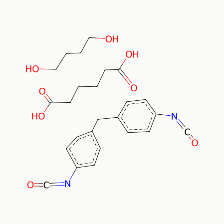 O=C(O)CCCCC(=O)O.O=C=Nc1ccc(Cc2ccc(N=C=O)cc2)cc1.OCCCCO